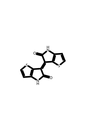 O=C1Nc2ccsc2/C1=C1\C(=O)Nc2ccsc21